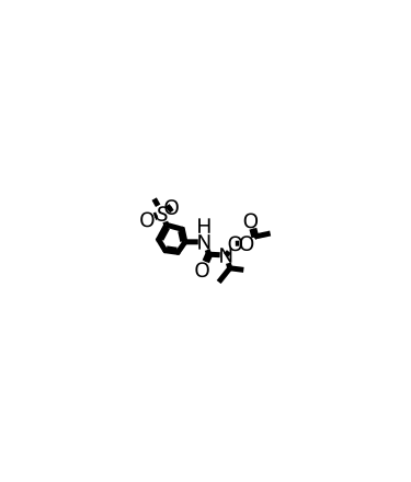 CC(=O)OON(C(=O)Nc1cccc(S(C)(=O)=O)c1)C(C)C